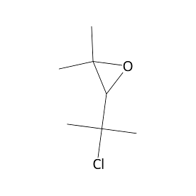 CC(C)(Cl)C1OC1(C)C